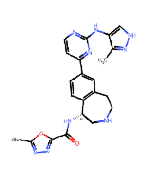 Cc1n[nH]cc1Nc1nccc(-c2ccc3c(c2)CCNC[C@@H]3NC(=O)c2nnc(C(C)(C)C)o2)n1